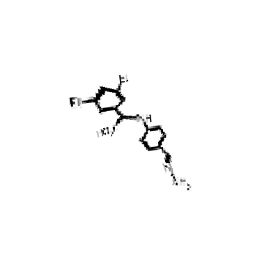 CCc1cc(CC)cc(C(Nc2ccc(C=NN)cc2)C(=O)O)c1